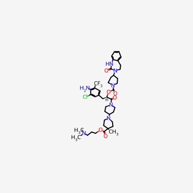 CN(C)CCCOC(=O)C1(C)CCN(C2CCN(C(=O)[C@@H](Cc3cc(Cl)c(N)c(C(F)(F)F)c3)OC(=O)N3CCC(N4CCc5ccccc5NC4=O)CC3)CC2)CC1